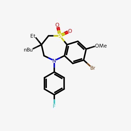 CCCCC1(CC)CN(c2ccc(F)cc2)c2cc(Br)c(OC)cc2S(=O)(=O)C1